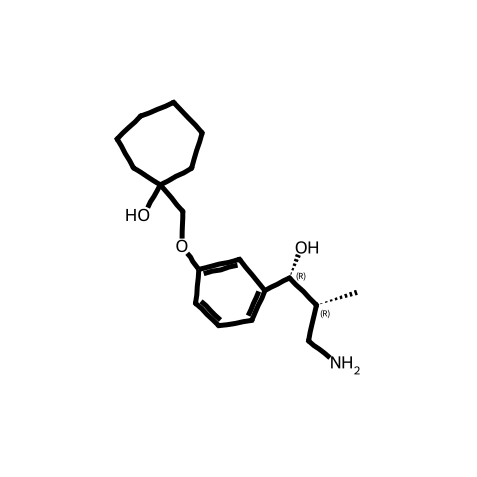 C[C@H](CN)[C@@H](O)c1cccc(OCC2(O)CCCCCC2)c1